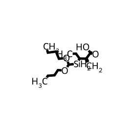 C=C(C(=O)O)C(CC)[SiH2]C(OCCCC)OCCCC